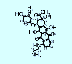 CC(=O)[C@]1(O)Cc2c(O)c3c(c(O)c2[C@@H](OC2C[C@H](N)[C@H](O)CO2)C1)C(=O)c1c(NCCN)cccc1C3=O